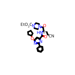 CCOC(=O)N1CCN(C(=O)[C@H](CCC#N)NC(=O)c2cc(OC3CCCC3)nc(-c3ccccc3)n2)CC1